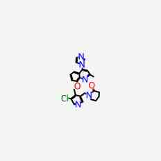 Cc1cc(-n2ccnc2)c2cccc(OCc3c(Cl)cncc3CN3CCCCC3=O)c2n1